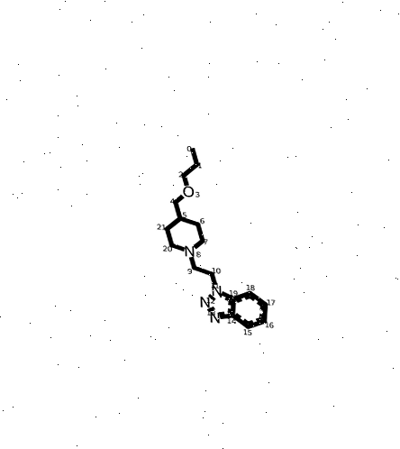 CCCOCC1CCN(CCn2nnc3ccccc32)CC1